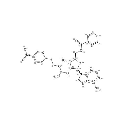 CC(OCCc1ccc([N+](=O)[O-])cc1)O[C@@H]1[C@H](O)[C@@H](COC(=O)c2ccccc2)O[C@H]1n1cnc2c(N)ncnc21